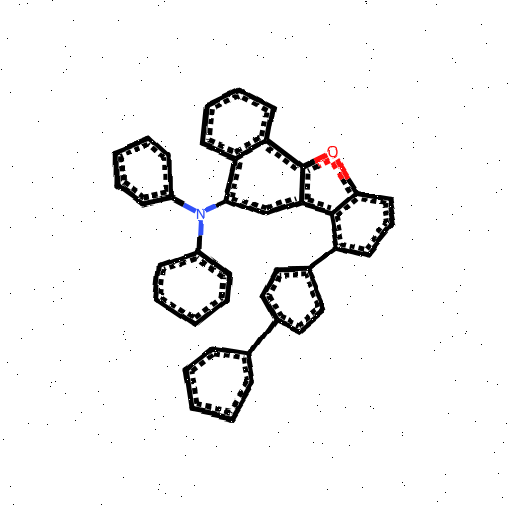 c1ccc(-c2ccc(-c3cccc4oc5c6ccccc6c(N(c6ccccc6)c6ccccc6)cc5c34)cc2)cc1